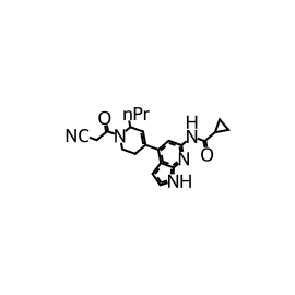 CCCC1C=C(c2cc(NC(=O)C3CC3)nc3[nH]ccc23)CCN1C(=O)CC#N